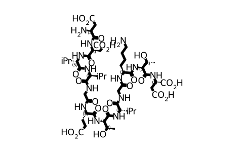 CC(C)[C@H](NC(=O)[C@H](CC(=O)O)NC(=O)[C@@H](N)CC(=O)O)C(=O)N[C@H](C(=O)NCC(=O)N[C@@H](CCC(=O)O)C(=O)N[C@H](C(=O)N[C@H](C(=O)NCC(=O)N[C@@H](CCCCN)C(=O)N[C@H](C(=O)N[C@@H](CC(=O)O)C(=O)O)[C@@H](C)O)C(C)C)[C@@H](C)O)C(C)C